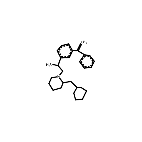 C=C(c1ccccc1)c1cccc(C(C)CN2CCCCC2CC2CCCCC2)c1